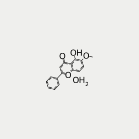 COc1ccc2oc(-c3ccccc3)cc(=O)c2c1O.O